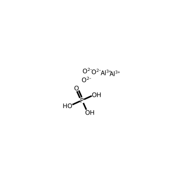 O=P(O)(O)O.[Al+3].[Al+3].[O-2].[O-2].[O-2]